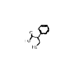 O=C(O)C(CS)c1ccccc1